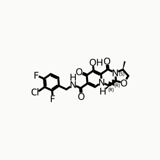 C[C@H]1CO[C@]23CCC[C@H]2n2cc(C(=O)NCc4ccc(F)c(Cl)c4F)c(=O)c(O)c2C(=O)N13